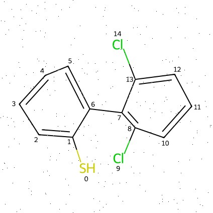 Sc1ccccc1-c1c(Cl)cccc1Cl